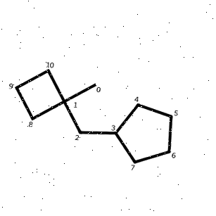 CC1(CC2CCCC2)CCC1